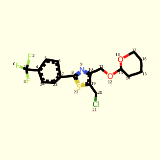 FC(F)(F)c1ccc(-c2nc(COC3CCCCO3)c(CCl)s2)cc1